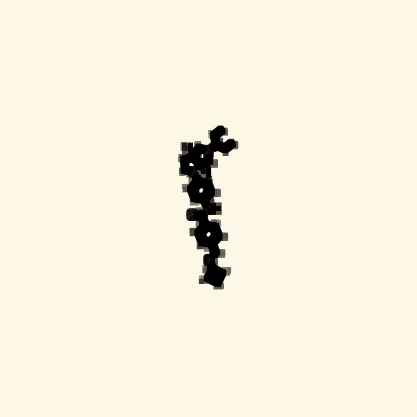 CCC(CC)N1C[C@H]2CCN(c3ccc(NC(=O)c4ccc(COC5CCC5)cc4)cc3)[C@H]2C1